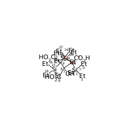 CC[Si](CC)(CC)C(C(=O)O)(C(O)(C(=O)O)C(C(=O)O)([Si](CC)(CC)CC)[Si](CC)(CC)CC)[Si](CC)(CC)CC